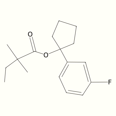 CCC(C)(C)C(=O)OC1(c2cccc(F)c2)CCCC1